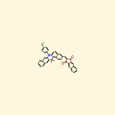 CSc1ccc(N2c3cc4ccccc4cc3C(C)(C)c3c2ccc2cc(C=C4C(=O)c5cc6ccccc6cc5C4=O)ccc32)cc1